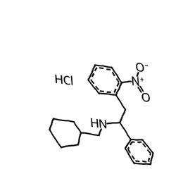 Cl.O=[N+]([O-])c1ccccc1CC(NCC1CCCCC1)c1ccccc1